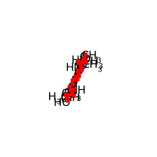 COC(=O)NC(C(=O)N1CCCC1c1nc2ccc(N3Cc4cc5c(cc4C3)CN(c3ccc4nc(C6CCCN6C(=O)C(NC(=O)CO)C(C)C)[nH]c4c3)C5)cc2[nH]1)C(C)C